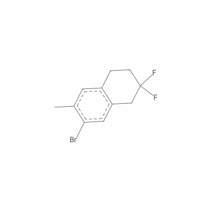 Cc1cc2c(cc1Br)CC(F)(F)CC2